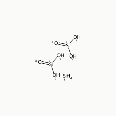 O=[Si](O)O.O=[Si](O)O.[SiH4]